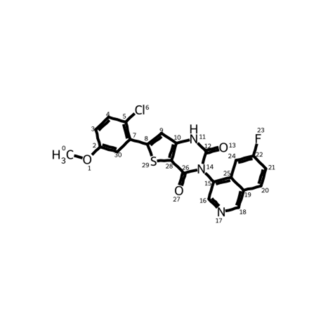 COc1ccc(Cl)c(-c2cc3[nH]c(=O)n(-c4cncc5ccc(F)cc45)c(=O)c3s2)c1